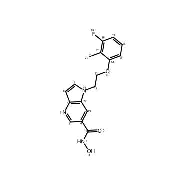 O=C(NO)c1cnc2ccn(CCOc3cccc(F)c3F)c2c1